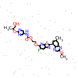 COc1cnc2c(-c3nc4cc(F)c(OCCOC(=O)Nc5cnc(O[C@@H](C)CO)nc5)nc4s3)cc(C)cc2n1